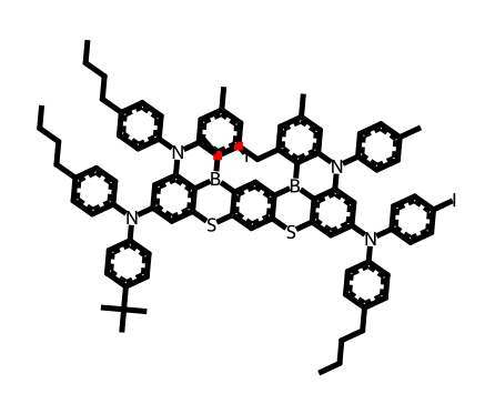 CCCCc1ccc(N(c2ccc(C(C)(C)C)cc2)c2cc3c4c(c2)N(c2ccc(CCCC)cc2)c2cc(C)cc(I)c2B4c2cc4c(cc2S3)Sc2cc(N(c3ccc(I)cc3)c3ccc(CCCC)cc3)cc3c2B4c2c(CCCC)cc(C)cc2N3c2ccc(C)cc2)cc1